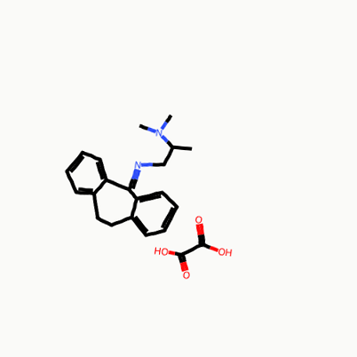 CC(CN=C1c2ccccc2CCc2ccccc21)N(C)C.O=C(O)C(=O)O